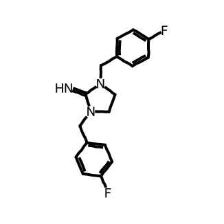 N=C1N(Cc2ccc(F)cc2)CCN1Cc1ccc(F)cc1